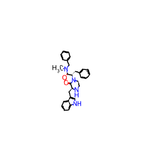 CN(Cc1ccccc1)C(=O)[C@H](Cc1ccccc1)N1CCN[C@@H](Cc2c[nH]c3ccccc23)C1=O